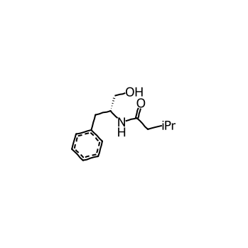 CC(C)CC(=O)N[C@@H](CO)Cc1ccccc1